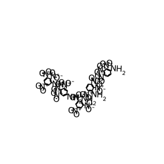 Nc1c([N+](=O)[O-])cc([N+](=O)[O-])cc1[N+](=O)[O-].Nc1c([N+](=O)[O-])ccc([N+](=O)[O-])c1[N+](=O)[O-].Nc1cc([N+](=O)[O-])c([N+](=O)[O-])c([N+](=O)[O-])c1.Nc1cc([N+](=O)[O-])cc([N+](=O)[O-])c1[N+](=O)[O-].Nc1ccc([N+](=O)[O-])c([N+](=O)[O-])c1[N+](=O)[O-]